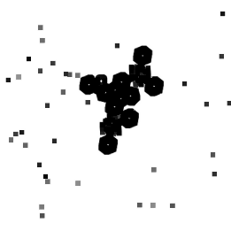 c1ccc(-c2nc(-c3ccccc3)nc(-c3ccc4c(c3)C3(c5ccccc5-c5cc(-[n+]6cnc(-c7ccccc7)nc6-c6ccccc6)ccc53)c3ccc5c(oc6ccccc65)c3-4)n2)cc1